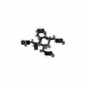 O=[N+]([O-])CNc1c(C[N+](=O)[O-])cc(C[N+](=O)[O-])cc1C[N+](=O)[O-]